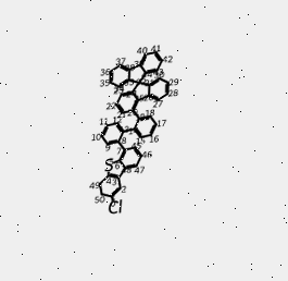 ClC1=Cc2c(sc3c(-c4ccccc4-c4ccccc4-c4cccc5c4-c4ccccc4C54c5ccccc5-c5ccccc54)cccc23)CC1